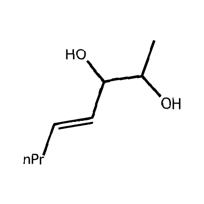 CCC/C=C/C(O)C(C)O